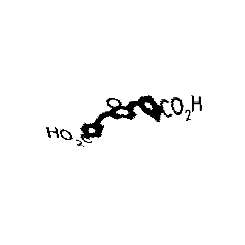 O=C1C(=Cc2ccc(C(=O)O)cc2)CCCC1=Cc1ccc(C(=O)O)cc1